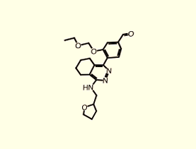 CCOCOc1cc(C=O)ccc1-c1nnc(NCC2CCCO2)c2c1CCCC2